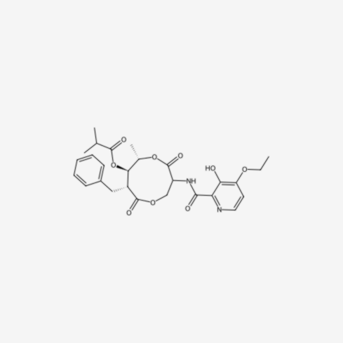 CCOc1ccnc(C(=O)NC2COC(=O)[C@H](Cc3ccccc3)[C@@H](OC(=O)C(C)C)[C@H](C)OC2=O)c1O